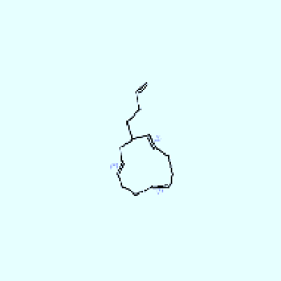 C=CCCC1/C=C/CC/C=C/CC/C=C/C1